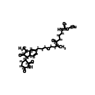 CN(CCOCCCc1ccc2c(c1)n(C)c(=O)n2C1CCC(=O)NC1=O)C(=O)CCCNC(=O)OC(C)(C)C